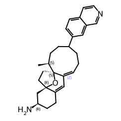 C[C@H]1CCC(c2ccc3ccncc3c2)CC/C=C2/C=C3CC[C@@H](N)C[C@]34CC[C@@]21O4